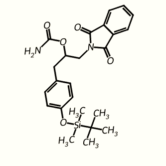 CC(C)(C)[Si](C)(C)Oc1ccc(CC(CN2C(=O)c3ccccc3C2=O)OC(N)=O)cc1